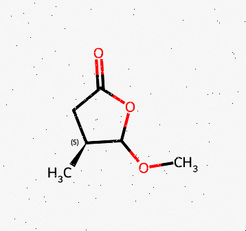 COC1OC(=O)C[C@@H]1C